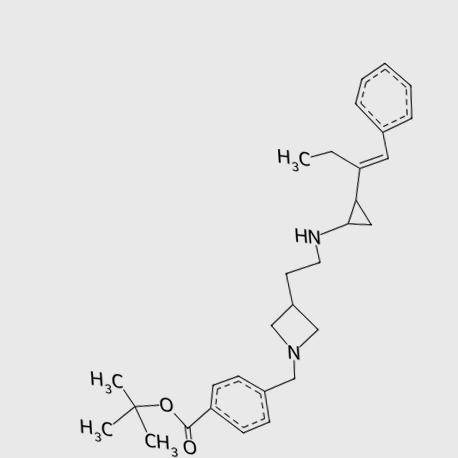 CC/C(=C\c1ccccc1)C1CC1NCCC1CN(Cc2ccc(C(=O)OC(C)(C)C)cc2)C1